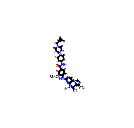 CC[C@@H]1c2c(C#N)ncn2-c2cnc(Nc3ccc(C(=O)N[C@H]4CC[C@H](N5CCN(CC6CC6)CC5)CC4)cc3OC)nc2N1C(C)C